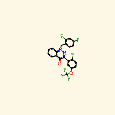 O=c1c(-c2cc(OC(F)(F)F)ccc2F)nn(Cc2ccc(F)cc2F)c2ccccc12